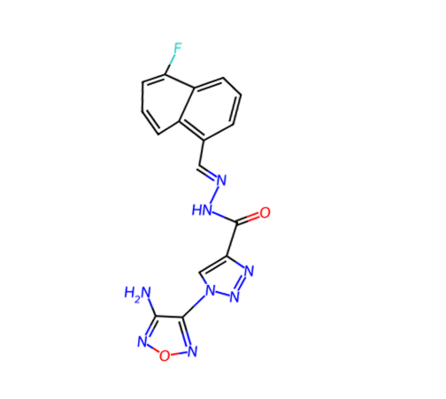 Nc1nonc1-n1cc(C(=O)NN=Cc2cccc3c(F)cccc23)nn1